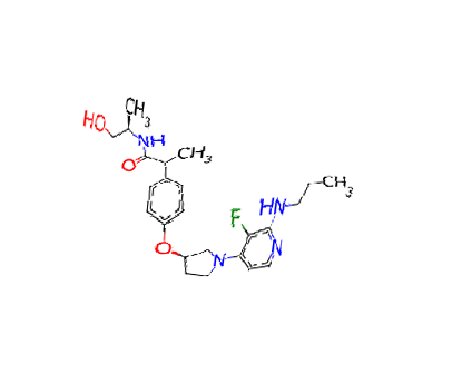 CCCNc1nccc(N2CC[C@@H](Oc3ccc(C(C)C(=O)N[C@H](C)CO)cc3)C2)c1F